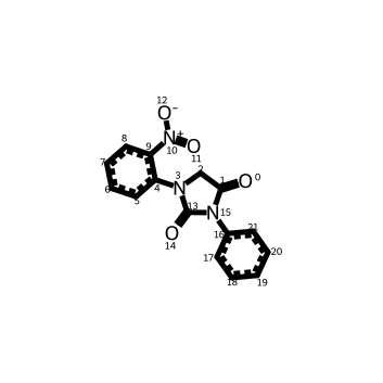 O=C1CN(c2ccccc2[N+](=O)[O-])C(=O)N1c1ccccc1